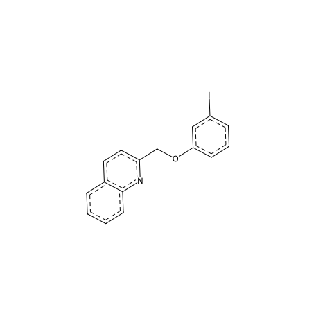 Ic1cccc(OCc2ccc3ccccc3n2)c1